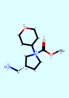 CC(C)(C)OC(=O)[N+]1(C2CCOCC2)CC[C@H](CN)C1